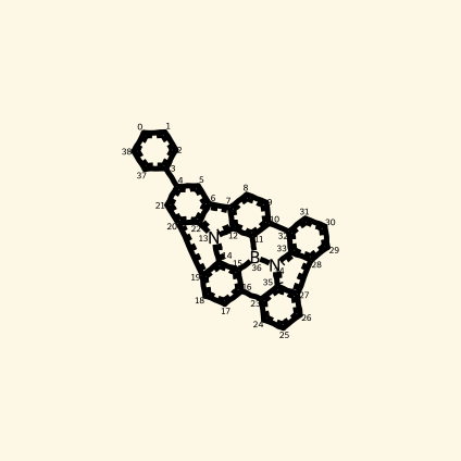 c1ccc(-c2cc3c4ccc5c6c4n4c7c8c(ccc7c(c2)c34)-c2cccc3c4cccc-5c4n(c23)B68)cc1